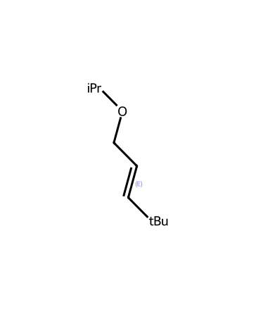 CC(C)OC/C=C/C(C)(C)C